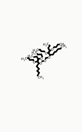 CCCCCCC(OCOCOC(CCCCCC)C(OCCCC)=C(CCC)OCCCC)C(OCCCC)=C(CCC)OCCCC